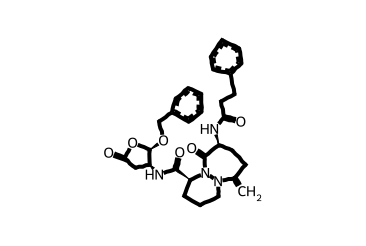 C=C1CC[C@H](NC(=O)CCc2ccccc2)C(=O)N2[C@H](C(=O)N[C@H]3CC(=O)O[C@H]3OCc3ccccc3)CCCN12